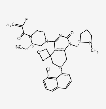 C=C(F)C(=O)N1CCN(c2nc(=O)n(C[C@@H]3CCCN3C)c3c2C2(COC2)CN(c2cccc4cccc(Cl)c24)C3)C[C@@H]1CC#N